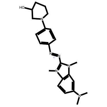 CN(C)c1ccc2c(c1)n(C)c(/N=N/c1ccc(N3CCCC(O)C3)cc1)[n+]2C